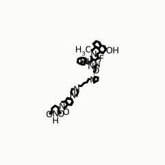 CCc1cccc2cc(O)cc(-c3ncc4c(N5CC6CCC(C5)N6)nc(OC[C@@H]5CCCN5CCCCCN5CCN(c6ccc7c(c6)CN([C@H]6CCC(=O)NC6=O)C7=O)CC5)nc4c3F)c12